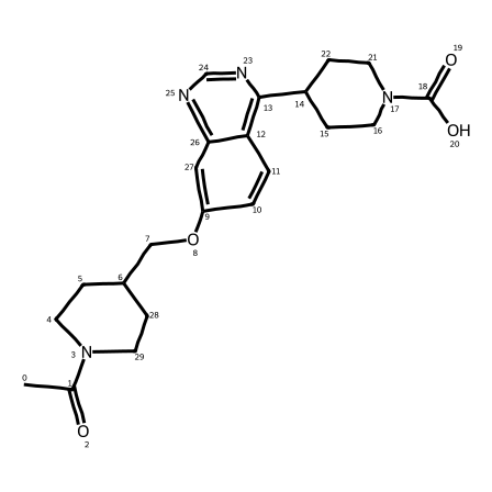 CC(=O)N1CCC(COc2ccc3c(C4CCN(C(=O)O)CC4)ncnc3c2)CC1